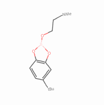 CNCCOB1Oc2ccc(C(C)(C)C)cc2O1